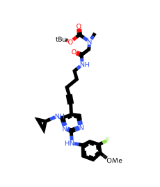 COc1ccc(Nc2ncc(C#CCCCNC(=O)CN(C)C(=O)OC(C)(C)C)c(NC3CC3)n2)cc1F